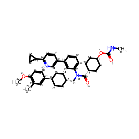 CNC(=O)O[C@H]1CC[C@H](C(=O)N(C[C@H]2CC[C@H](c3ccc(OC)c(C)c3)CC2)c2cccc(-c3ccc(C4CC4)nc3)c2)CC1